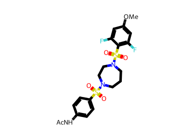 COc1cc(F)c(S(=O)(=O)N2CCCN(S(=O)(=O)c3ccc(NC(C)=O)cc3)CC2)c(F)c1